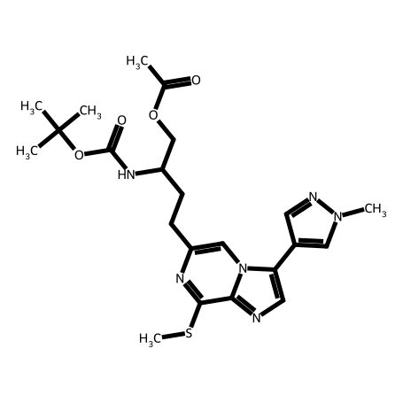 CSc1nc(CCC(COC(C)=O)NC(=O)OC(C)(C)C)cn2c(-c3cnn(C)c3)cnc12